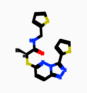 CC[C@@H](Sc1ccc2nnc(-c3cccs3)n2n1)C(=O)NCc1cccs1